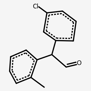 Cc1ccccc1C(C=O)c1cccc(Cl)c1